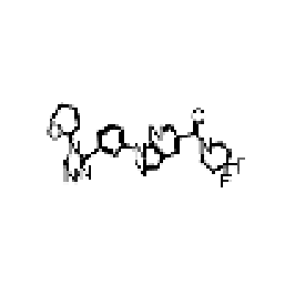 O=C(c1cnc2c(cnn2-c2cccc(-c3nncn3C3CCCCO3)c2)c1)N1CCC(F)(F)CC1